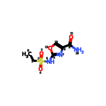 CCS(=O)(=O)Nc1nc(C(N)=O)co1